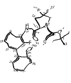 CC(C)(C)OC(=O)N1CC(F)(F)CC1C(=O)Nc1cccc(-c2ccccc2Cl)c1F